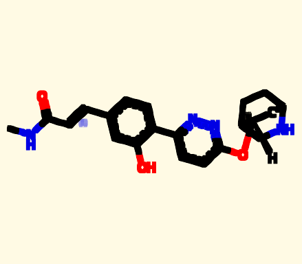 CNC(=O)/C=C/c1ccc(-c2ccc(O[C@H]3CC4CCC3CN4)nn2)c(O)c1